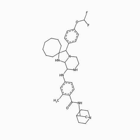 Cc1cc(NC2NCCN3C2NC2(CCCCCCC2)C3c2ccc(OC(F)F)cc2)ccc1C(=O)NC1CN2CCC1CC2